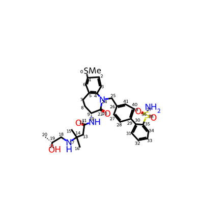 CSc1ccc2c(c1)CC[C@@H](NC(=O)CC(C)(C)NC[C@@H](C)O)C(=O)N2Cc1ccc(-c2ccccc2S(N)(=O)=O)cc1